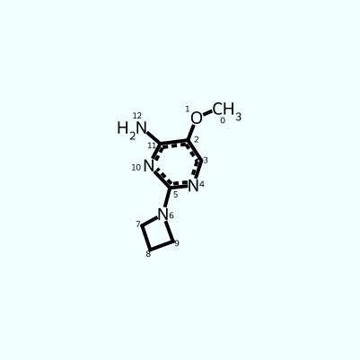 COc1cnc(N2CCC2)nc1N